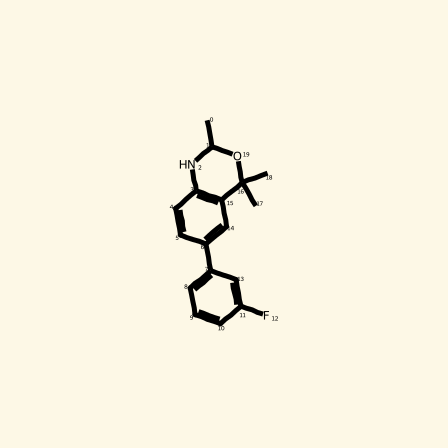 C[C]1Nc2ccc(-c3cccc(F)c3)cc2C(C)(C)O1